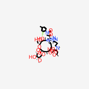 CC[C@H]1OC(=O)[C@H](C)[C@@H](O[C@H]2C[C@@](C)(OC)[C@@H](O)[C@H](C)O2)[C@H](C)[C@@H](O[C@@H]2O[C@H](C)C[C@H](N(C)CCc3cn(C[C@H]4CN(c5ccc(C)cc5F)C(=O)O4)nn3)[C@H]2O)[C@](C)(O)C[C@@H](C)CN(C)[C@H](C)[C@@H](O)[C@]1(C)O